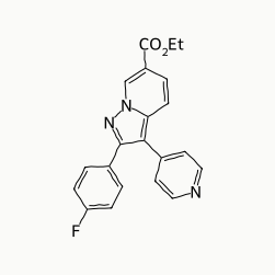 CCOC(=O)c1ccc2c(-c3ccncc3)c(-c3ccc(F)cc3)nn2c1